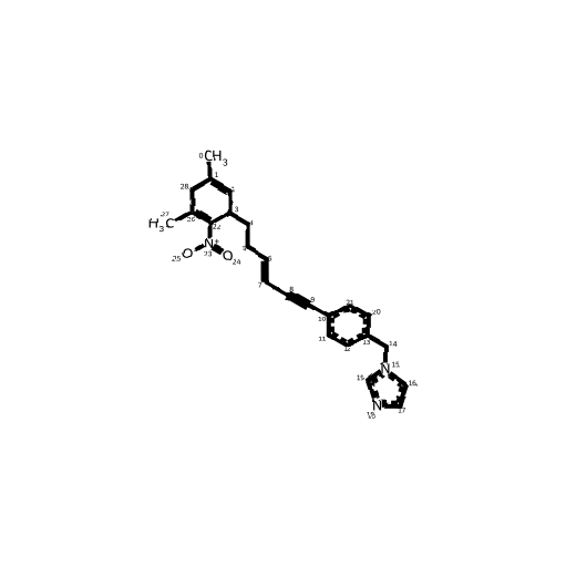 CC1=CC(CC/C=C/C#Cc2ccc(Cn3ccnc3)cc2)C([N+](=O)[O-])=C(C)C1